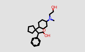 CN(CCO)C1CCC(C2(C(C(=O)O)c3ccccc3)CCCC2)CC1